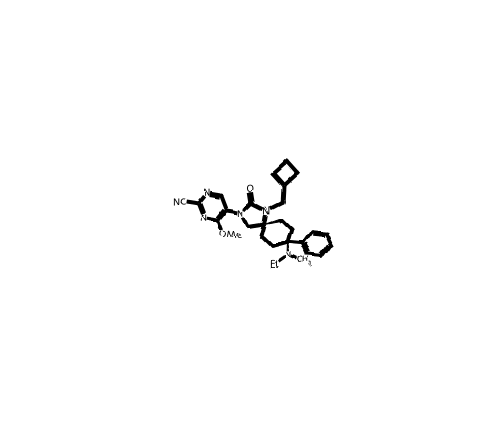 CCN(C)[C@]1(c2ccccc2)CC[C@@]2(CC1)CN(c1cnc(C#N)nc1OC)C(=O)N2CC1CCC1